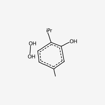 Cc1ccc(C(C)C)c(O)c1.OO